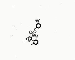 Cc1cccc(C)c1-c1nocc1NC(=O)OCc1cccc(N(C)C)c1